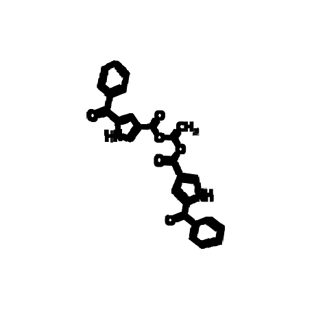 C=C(OC(=O)c1c[nH]c(C(=O)c2ccccc2)c1)OC(=O)c1c[nH]c(C(=O)c2ccccc2)c1